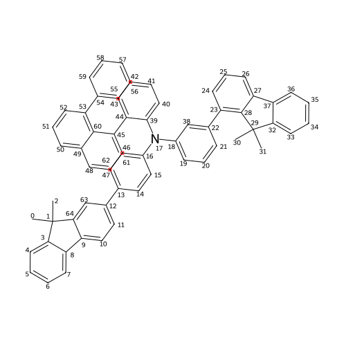 CC1(C)c2ccccc2-c2ccc(-c3ccc(N(c4cccc(-c5cccc6c5C(C)(C)c5ccccc5-6)c4)c4ccccc4-c4cccc5cccc(-c6ccccc6)c45)cc3)cc21